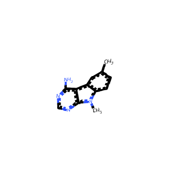 Cc1ccc2c(c1)c1c(N)ncnc1n2C